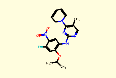 Cc1cnc(Nc2cc([N+](=O)[O-])c(F)cc2OC(C)C)nc1N1C=CC=CC1